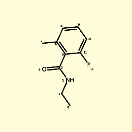 CCNC(=O)c1c(C)cccc1F